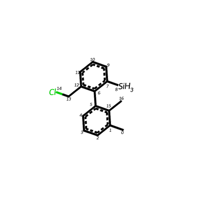 Cc1cccc(-c2c([SiH3])cccc2CCl)c1C